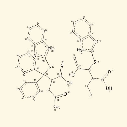 CCC(C(=O)O)C(Sc1nc2ccccc2[nH]1)C(=O)O.O=C(O)CC(C(=O)O)C(Sc1nc2ccccc2[nH]1)(c1ccccc1)c1ccccc1